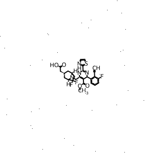 C#Cc1c(F)cccc1C1N=C(c2nccs2)NC(CN2[C@@H]3C[C@H](CC(=O)O)C[C@H]2C(F)(F)C3)=C1C(=O)OC